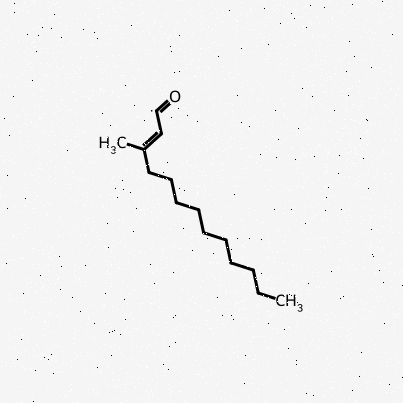 CCCCCCCCCCC(C)=C[C]=O